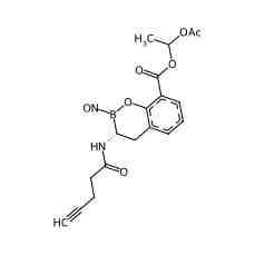 C#CCCC(=O)N[C@H]1Cc2cccc(C(=O)OC(C)OC(C)=O)c2OB1N=O